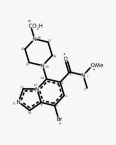 CON(C)C(=O)c1cc(Br)c2cncn2c1N1CCN(C(=O)O)CC1